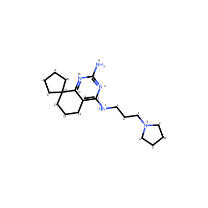 Nc1nc(NCCCN2CCCC2)c2c(n1)C1(CCCC1)CCC2